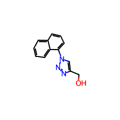 OCc1cn(-c2cccc3ccccc23)nn1